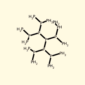 PPP(P)P(P(P(P)P)P(P)P)P(P(P)P)P(P)P